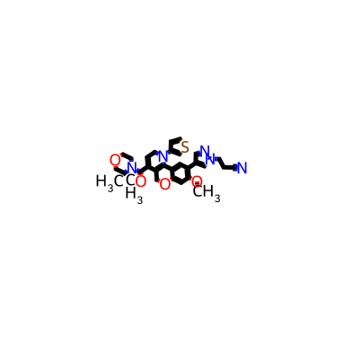 COc1cc2c(cc1-c1cnn(CCC#N)c1)C1=C(CO2)C(C(=O)N2CCOCC2(C)C)=CCN1c1ccsc1